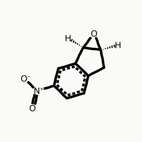 O=[N+]([O-])c1ccc2c(c1)[C@H]1O[C@H]1C2